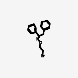 BrCCO/N=C(\Cc1ccccc1)c1ccccc1